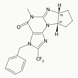 CN1C(=O)c2c(nc(C(F)(F)F)n2Cc2ccccc2)N2C1=N[C@@H]1CCC[C@@H]12